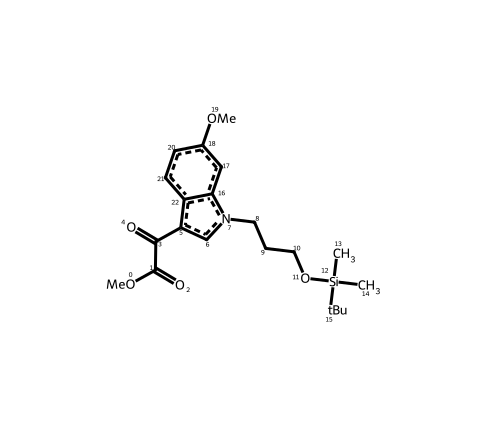 COC(=O)C(=O)c1cn(CCCO[Si](C)(C)C(C)(C)C)c2cc(OC)ccc12